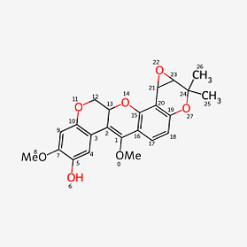 COC1=C2c3cc(O)c(OC)cc3OCC2Oc2c1ccc1c2C2OC2C(C)(C)O1